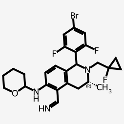 C[C@@H]1Cc2c(ccc(NC3CCCCO3)c2C=N)C(c2c(F)cc(Br)cc2F)N1CC1(F)CC1